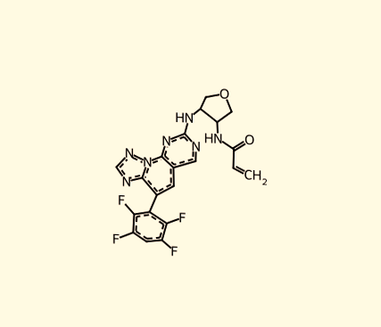 C=CC(=O)NC1COCC1Nc1ncc2cc(-c3c(F)c(F)cc(F)c3F)c3ncnn3c2n1